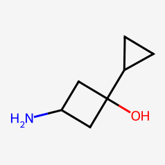 NC1CC(O)(C2CC2)C1